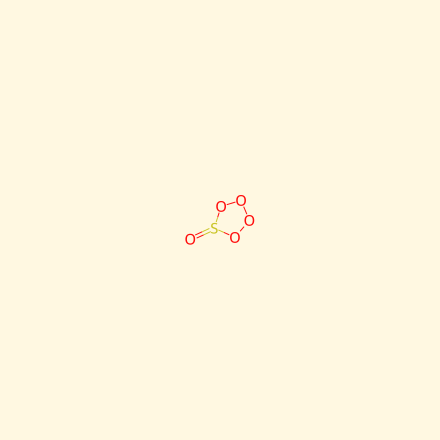 O=S1OOOO1